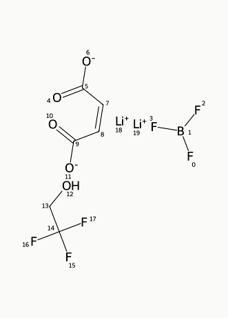 FB(F)F.O=C([O-])/C=C\C(=O)[O-].OCC(F)(F)F.[Li+].[Li+]